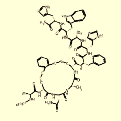 CCCCCCCN[C@H](C(=O)N[C@@H]1CSCc2ccccc2CSC[C@H](C(=O)N[C@@H](Cc2ccccc2)C(=O)N[C@@H](Cc2cnc[nH]2)C(=O)NC(C(=O)N[C@@H](Cc2c[nH]c3ccccc23)C(=O)N[C@@H](Cc2cnc[nH]2)C(N)=O)[C@@H](C)CC)NC(=O)[C@H](C)NC(=O)[C@H](CC(N)=O)NC1=O)C(C)C